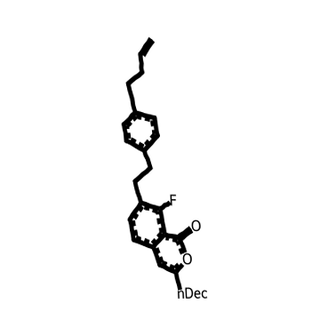 C=CCCc1ccc(CCc2ccc3cc(CCCCCCCCCC)oc(=O)c3c2F)cc1